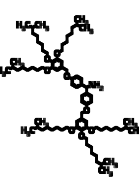 CC(C)CCCCCCOc1cc(COc2ccc(C(N)c3ccc(OCc4cc(OCCCCCCC(C)C)c(OCCCCCCC(C)C)c(OCCCCCCC(C)C)c4)cc3)cc2)cc(OCCCCCCC(C)C)c1OCCCCCCC(C)C